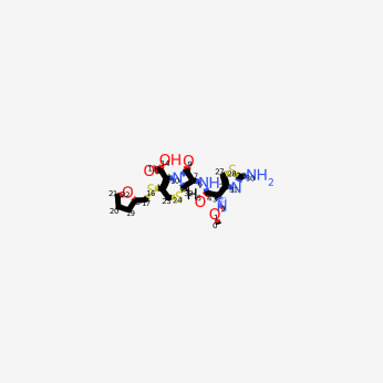 CO/N=C(\C(=O)NC1C(=O)N2C(C(=O)O)=C(SCC3CCCO3)CS[C@H]12)c1csc(N)n1